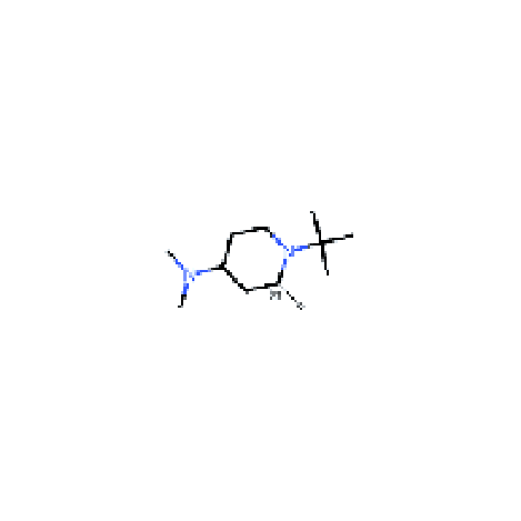 C[C@@H]1CC(N(C)C)CCN1C(C)(C)C